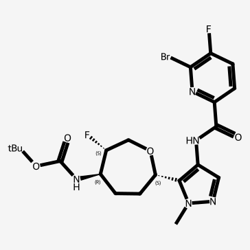 Cn1ncc(NC(=O)c2ccc(F)c(Br)n2)c1[C@@H]1CC[C@@H](NC(=O)OC(C)(C)C)[C@H](F)CO1